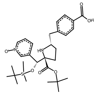 CC(C)(C)OC(=O)[C@]1([C@H](O[Si](C)(C)C(C)(C)C)c2ccc[n+]([O-])c2)CC[C@@H](Cc2ccc(C(=O)O)cc2)N1